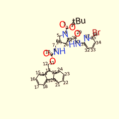 CC(C)(C)OC(=O)N1C[C@@H](CNC(=O)OCC2c3ccccc3-c3ccccc32)C[C@H]1C(=O)Nc1cccc(Br)n1